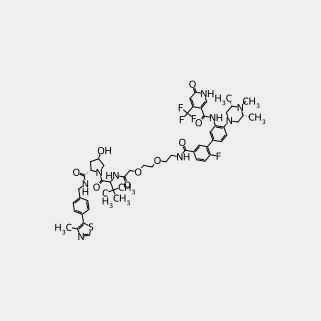 Cc1ncsc1-c1ccc(CNC(=O)[C@@H]2C[C@@H](O)CN2C(=O)[C@@H](NC(=O)COCCOCCNC(=O)c2ccc(F)c(-c3ccc(N4C[C@@H](C)N(C)[C@@H](C)C4)c(NC(=O)c4c[nH]c(=O)cc4C(F)(F)F)c3)c2)C(C)(C)C)cc1